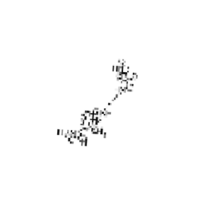 COc1cc(-c2cn(C)c(=O)c3cnccc23)cc(OC)c1CN1CC[C@H]1C(=O)NCCCCCCCCNc1cccc2c1C(=O)N([C@@H]1CCC(=O)NC1=O)C2=O